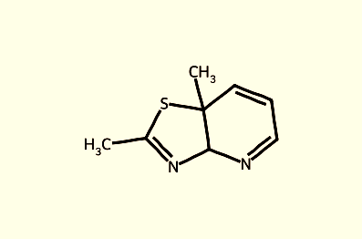 CC1=NC2N=CC=CC2(C)S1